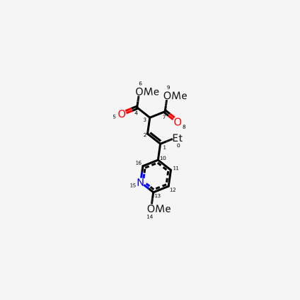 CCC(=CC(C(=O)OC)C(=O)OC)c1ccc(OC)nc1